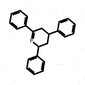 c1ccc(C2=PC(c3ccccc3)CC(c3ccccc3)C2)cc1